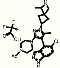 CC(=O)N1CCN(c2nn(C3CC4(CNC4C)C3)c(C)c2-c2c(Cl)ccc3[nH]ncc23)CC1.O=C(O)C(F)(F)F